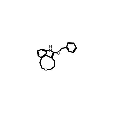 c1ccc(COc2[nH]c3cccc4c3c2CCCCCC4)cc1